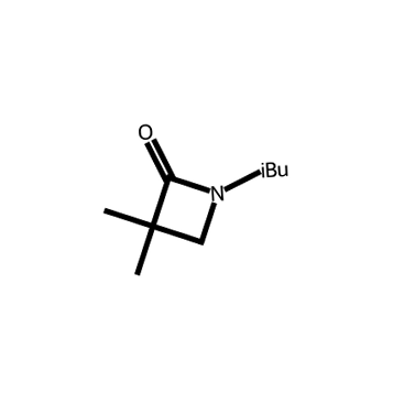 CCC(C)N1CC(C)(C)C1=O